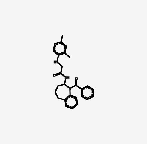 Cc1ccc(NCC(=O)NC2CCCc3ccccc3N2C(=O)c2ccccc2)c(C)c1